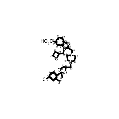 CC1(c2ccc(Cl)cc2F)OCC(CN2CCN(Cc3nc4ccc(C(=O)O)cc4n3CC3CCO3)CC2)O1